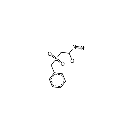 [N]=NC([O])CS(=O)(=O)Cc1ccccc1